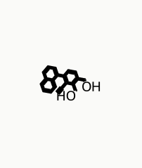 C#Cc1c(-c2cccc3ccccc23)ccc(CO)c1CO